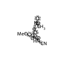 COc1ccc(OC(=O)N(CC(=O)NCCC#N)Cc2ccc(OCCc3nc(-c4ccccc4)oc3C)cc2)cc1